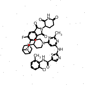 Cc1nc(Nc2ncc(C(=O)Nc3c(C)cccc3Cl)s2)cc(N2CCC(CN3C4CC3CN(c3cc5c(cc3F)C(=O)N(C3CCC(=O)NC3=O)C5=O)C4)CC2)n1